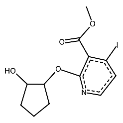 COC(=O)c1c(I)ccnc1OC1CCCC1O